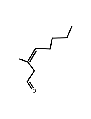 CCCCC=C(C)CC=O